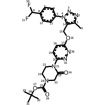 Cc1nnn(-c2ccc(C(F)F)cc2)c1COc1ccc(N2CCN(C(=O)OC(C)(C)C)CC2=O)nn1